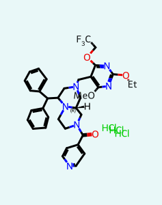 CCOc1nc(OC)c(CN2CC(C(c3ccccc3)c3ccccc3)N3CCN(C(=O)c4ccncc4)C[C@H]3C2)c(OCC(F)(F)F)n1.Cl.Cl.Cl